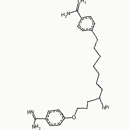 C=C(N)c1ccc(CCCCCCCC(CCC)CCCOc2ccc(C(=N)N)cc2)cc1